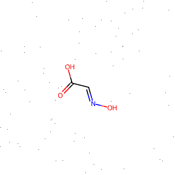 O=C(O)/C=N/O